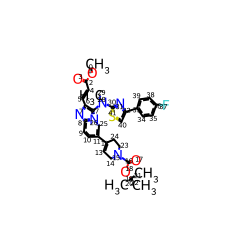 COC(=O)C=Cc1nc2ccc(C3=CCN(C(=O)OC(C)(C)C)CC3)cn2c1N(C)c1nc(-c2ccc(F)cc2)cs1